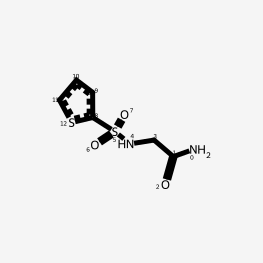 NC(=O)CNS(=O)(=O)c1cccs1